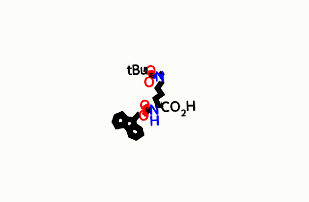 CN(CCCC[C@H](NC(=O)OCC1c2ccccc2-c2ccccc21)C(=O)O)C(=O)OC(C)(C)C